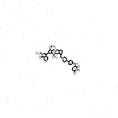 COc1cc(-c2cn(C)c(=O)c3cnccc23)cc(OC)c1CN1CCc2c(CN3CCC(c4ccc(NC5CCC(=O)NC5=O)cc4)CC3)cccc2C1